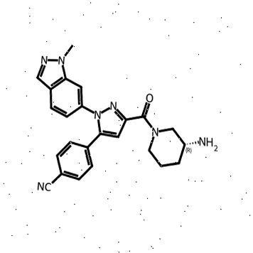 Cn1ncc2ccc(-n3nc(C(=O)N4CCC[C@@H](N)C4)cc3-c3ccc(C#N)cc3)cc21